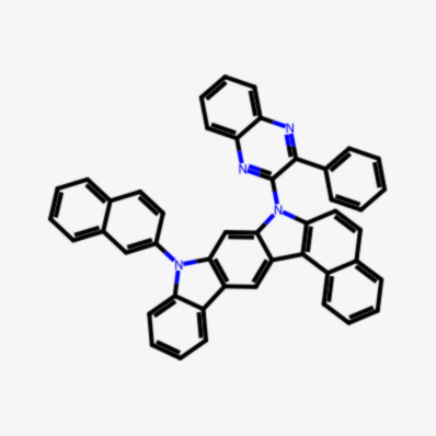 c1ccc(-c2nc3ccccc3nc2-n2c3cc4c(cc3c3c5ccccc5ccc32)c2ccccc2n4-c2ccc3ccccc3c2)cc1